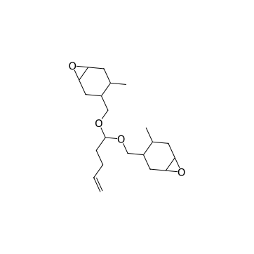 C=CCCC(OCC1CC2OC2CC1C)OCC1CC2OC2CC1C